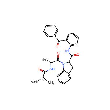 CN[C@@H](C)C(=O)NC(C(=O)N1c2ccccc2CC1C(=O)Nc1ccccc1C(=O)c1ccccc1)C(C)C